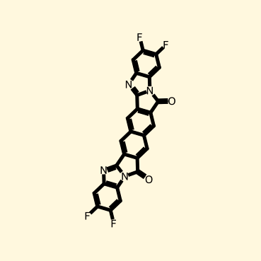 O=c1c2cc3cc4c(=O)n5c6cc(F)c(F)cc6nc5c4cc3cc2c2nc3cc(F)c(F)cc3n12